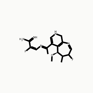 CO[C@H]1C2=C(CNC=C2/C(C)=N/C=C(/F)C(=N)N)N=CC(F)C1C